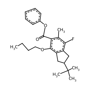 CCCCOc1c2c(c(F)c(C)c1C(=O)Oc1ccccc1)CC(C(C)(C)C)C2